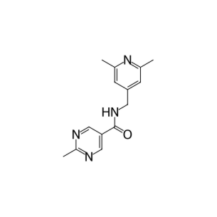 Cc1cc(CNC(=O)c2cnc(C)nc2)cc(C)n1